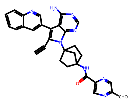 C#Cc1c(-c2cnc3ccccc3c2)c2c(N)ncnc2n1C12CCC(NC(=O)c3cnc(C=O)cn3)(CC1)C2